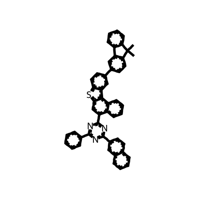 CC1(C)c2ccccc2-c2cc(-c3ccc4sc5cc(-c6nc(-c7ccccc7)nc(-c7ccc8ccccc8c7)n6)c6ccccc6c5c4c3)ccc21